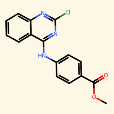 COC(=O)c1ccc(Nc2nc(Cl)nc3ccccc23)cc1